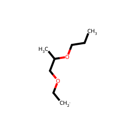 [CH2]COCC(C)OCCC